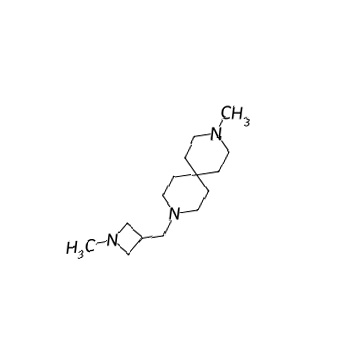 CN1CCC2(CC1)CCN(CC1CN(C)C1)CC2